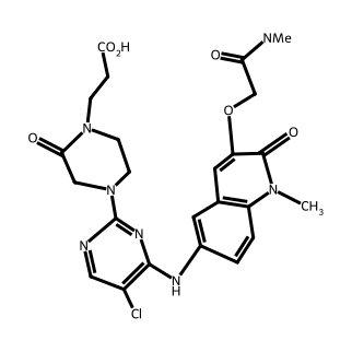 CNC(=O)COc1cc2cc(Nc3nc(N4CCN(CCC(=O)O)C(=O)C4)ncc3Cl)ccc2n(C)c1=O